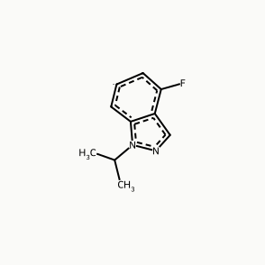 CC(C)n1ncc2c(F)c[c]cc21